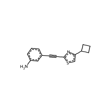 Nc1cccc(C#Cc2nc(C3CCC3)cs2)c1